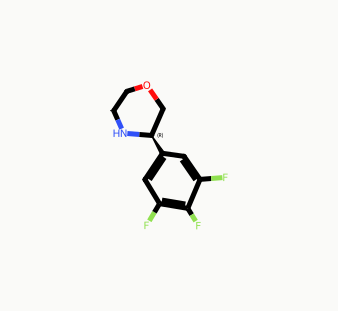 Fc1cc([C@@H]2COC[CH]N2)cc(F)c1F